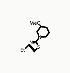 CCc1csc(N2CCC[C@H](OC)C2)n1